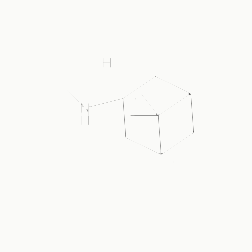 CN[C@H]1CC2C[C@@](C)(C1)C2(C)C